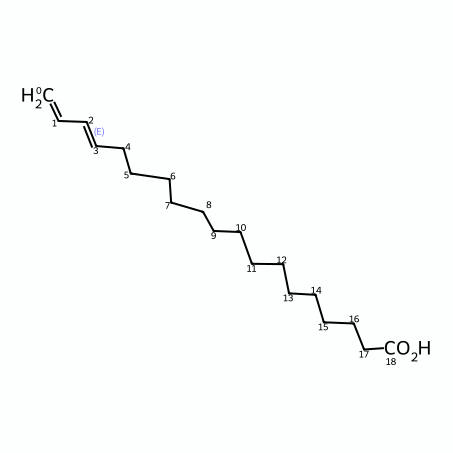 C=C/C=C/CCCCCCCCCCCCCCC(=O)O